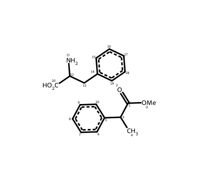 COC(=O)C(C)c1ccccc1.NC(Cc1ccccc1)C(=O)O